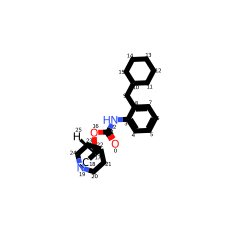 O=C(Nc1ccccc1CC1CCCCC1)O[C@H]1CN2CCC1CC2